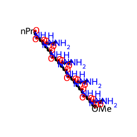 CCCC(=O)CNC(=O)CCC(=O)CN(CCCC(=O)CNC(=O)CCC(=O)CN(CCCC(=O)CNC(=O)CCC(=O)CN(CCCC(=O)CNC(=O)CCC(=O)CN(CC(=O)OC)C(=O)CNC(=O)CN)C(=O)CNC(=O)CN)C(=O)CNC(=O)CN)C(=O)CNC(=O)CN